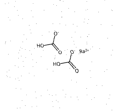 O=C([O-])O.O=C([O-])O.[Ra+2]